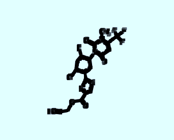 C#CCOC(=O)c1cnc(-c2cc(-n3c(=O)cc(C(F)(F)F)n(C)c3=O)c(F)cc2Cl)s1